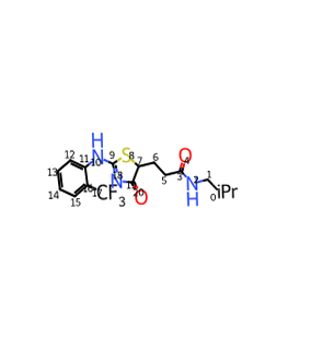 CC(C)CNC(=O)CCC1SC(Nc2ccccc2C(F)(F)F)=NC1=O